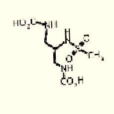 CS(=O)(=O)NC(CNC(=O)O)CNC(=O)O